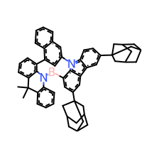 CC1(C)c2ccccc2N2B3c4c(cc5ccccc5c4-c4cccc1c42)-n1c2ccc(C45CC6CC(CC(C6)C4)C5)cc2c2cc(C45CC6CC(CC(C6)C4)C5)cc3c21